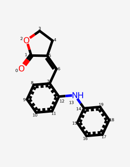 O=C1OCCC1=Cc1ccccc1Nc1ccccc1